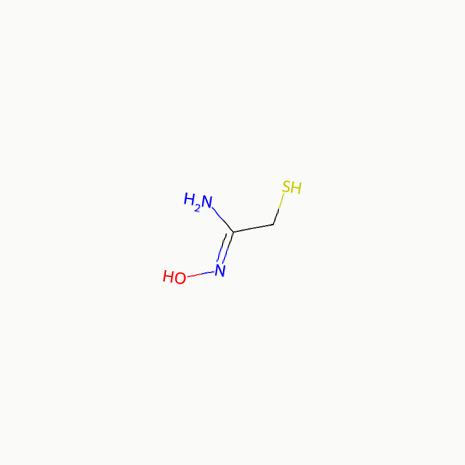 N/C(CS)=N\O